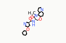 CN1C(=O)[C@@H](NC(=O)c2cncc(Oc3ccccc3)c2)COc2ccc3ncccc3c21